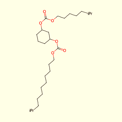 CC(C)CCCCCCCCCOC(=O)OC1CCCC(OC(=O)OCCCCCC(C)C)C1